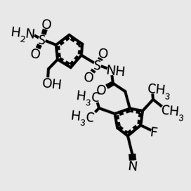 CC(C)c1cc(C#N)c(F)c(C(C)C)c1CC(=O)NS(=O)(=O)c1ccc(S(N)(=O)=O)c(CO)c1